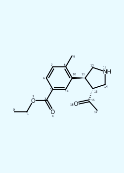 CCOC(=O)c1ccc(C)c([C@H]2CNC[C@@H]2C(C)=O)c1